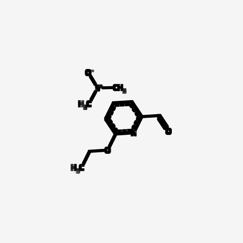 CCOc1cccc(C=O)n1.C[S+](C)[O-]